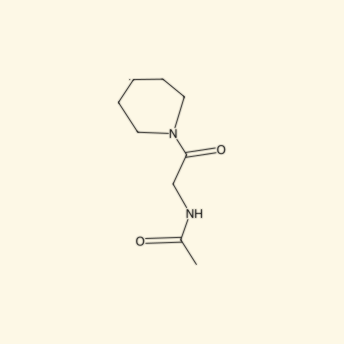 CC(=O)NCC(=O)N1CC[CH]CC1